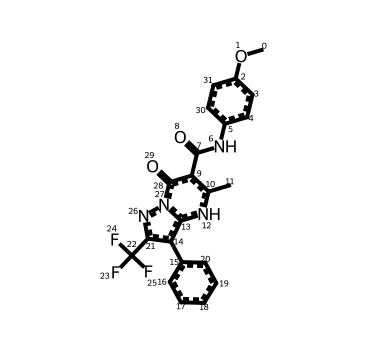 COc1ccc(NC(=O)c2c(C)[nH]c3c(-c4ccccc4)c(C(F)(F)F)nn3c2=O)cc1